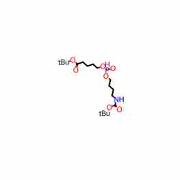 CC(C)(C)OC(=O)CCCCO[PH](=O)OCCCCNC(=O)OC(C)(C)C